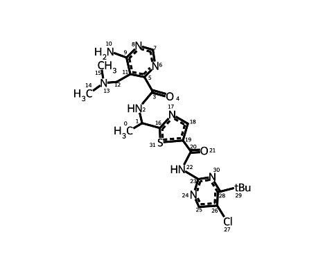 CC(NC(=O)c1ncnc(N)c1CN(C)C)c1ncc(C(=O)Nc2ncc(Cl)c(C(C)(C)C)n2)s1